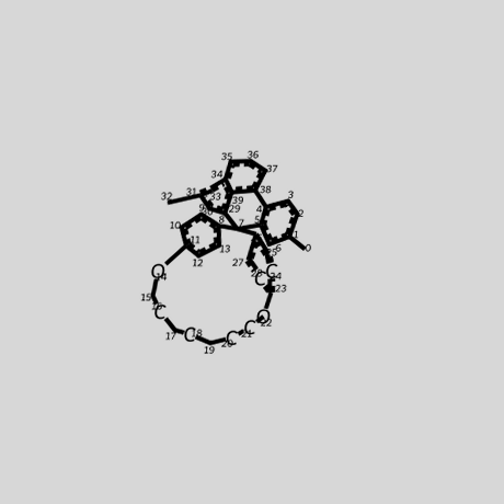 Cc1ccc2c(c1)C1(c3ccc(cc3)OCCCCCCCOc3ccc1cc3)c1cc(C)cc3cccc-2c13